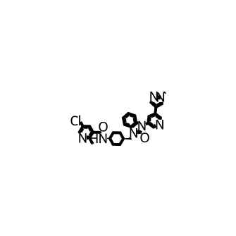 Cc1ncc(Cl)cc1C(=O)N[C@H]1CC[C@H](Cn2c(=O)n(-c3cncc(-c4cnn(C)c4)c3)c3ccccc32)CC1